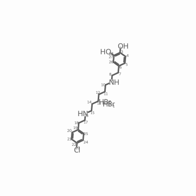 Br.Br.Oc1ccc(CCNCCCCCCNCCc2ccc(Cl)cc2)cc1O